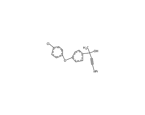 CCCC#CC(C)(O)c1ccc(Oc2ccc(Cl)cc2)cc1